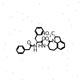 O=C(Cc1ccccc1)N[C@@H](Cc1ccccc1)C(=O)N[C@H]1CCc2cccc3c2N(C1=O)[C@H](C(=O)O)C3